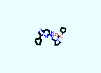 O=C(OC1CCCC1)N1CCCC1CNc1ccc2ncc(-c3ccccc3)n2n1